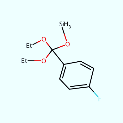 CCOC(O[SiH3])(OCC)c1ccc(F)cc1